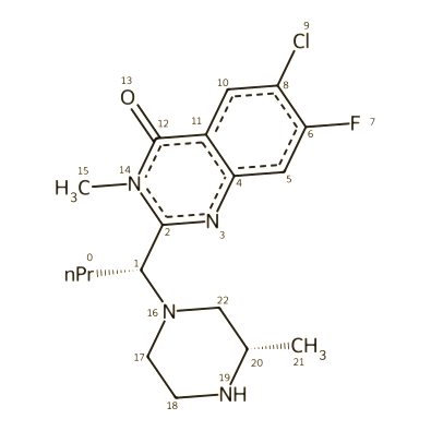 CCC[C@H](c1nc2cc(F)c(Cl)cc2c(=O)n1C)N1CCN[C@@H](C)C1